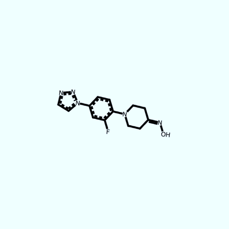 ON=C1CCN(c2ccc(-n3ccnn3)cc2F)CC1